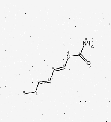 CC/C=C/C=C/OC(N)=O